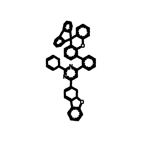 C1=CCC(c2nc(C3=CC=C4c5ccccc5OC4C3)cc(-c3ccccc3-c3cccc4c3Oc3ccccc3C43c4ccccc4-c4ccccc43)n2)C=C1